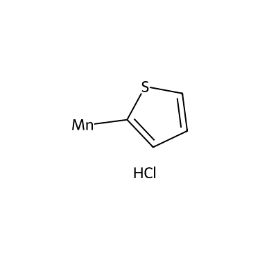 Cl.[Mn][c]1cccs1